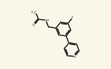 O=C(NCc1cc(F)cc(-c2ccncc2)c1)C(F)(F)F